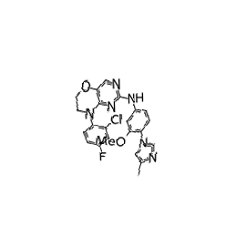 COc1cc(Nc2ncc3c(n2)N(c2ccc(F)cc2Cl)CCO3)ccc1-n1cnc(C)c1